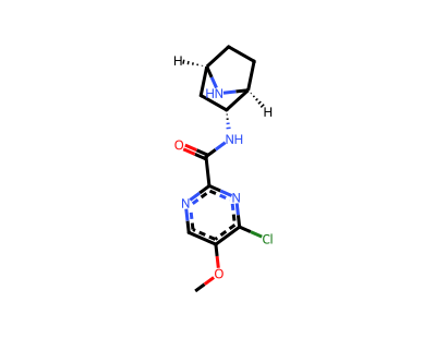 COc1cnc(C(=O)N[C@@H]2C[C@H]3CC[C@@H]2N3)nc1Cl